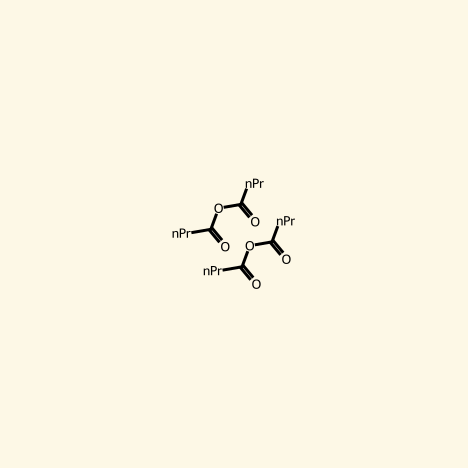 CCCC(=O)OC(=O)CCC.CCCC(=O)OC(=O)CCC